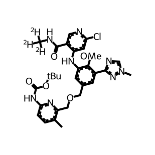 [2H]C([2H])([2H])NC(=O)c1cnc(Cl)cc1Nc1cc(COCc2nc(NC(=O)OC(C)(C)C)ccc2C)cc(-c2ncn(C)n2)c1OC